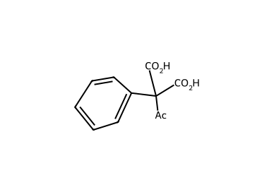 CC(=O)C(C(=O)O)(C(=O)O)c1ccccc1